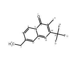 CCc1ccn2c(=O)c(I)c(C(F)(F)F)nc2c1